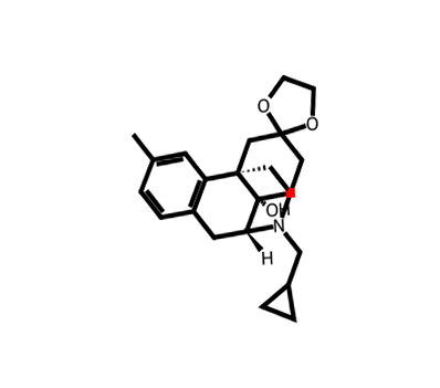 Cc1ccc2c(c1)[C@]13CCN(CC4CC4)[C@H](C2)[C@]1(O)CCC1(C3)OCCO1